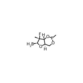 B[C@@H]1O[C@@H]2COP(C)O[C@H]2[C@@]1(C)F